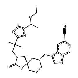 CCOC(C)c1noc(C(C)(C)CN2C[C@@]3(CCC[C@H](Cn4cnc5ccc(C#N)cc54)C3)OC2=O)n1